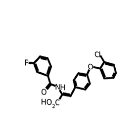 O=C(O)C(=Cc1ccc(Oc2ccccc2Cl)cc1)NC(=O)c1cccc(F)c1